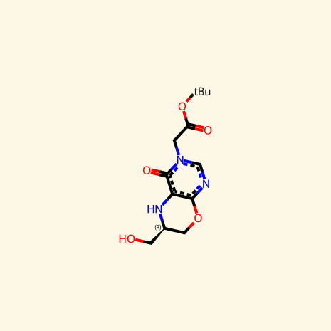 CC(C)(C)OC(=O)Cn1cnc2c(c1=O)N[C@H](CO)CO2